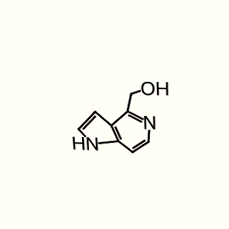 OCc1nccc2[nH]ccc12